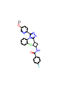 CCOc1ccc(-c2nnc(C3CC(NC(=O)c4ccc(F)cc4)C3)n2-c2ccccc2Cl)nc1